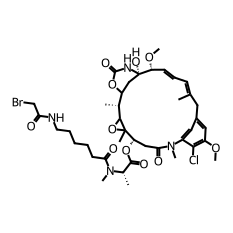 COc1cc2cc(c1Cl)N(C)C(=O)C[C@H](OC(=O)[C@H](C)N(C)C(=O)CCCCCNC(=O)CBr)C1(C)OC1[C@H](C)C1C[C@@](O)(NC(=O)O1)[C@H](OC)/C=C/C=C(\C)C2